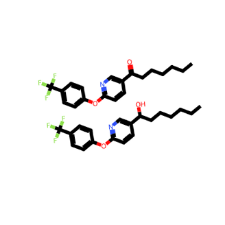 CCCCCCC(=O)c1ccc(Oc2ccc(C(F)(F)F)cc2)nc1.CCCCCCC(O)c1ccc(Oc2ccc(C(F)(F)F)cc2)nc1